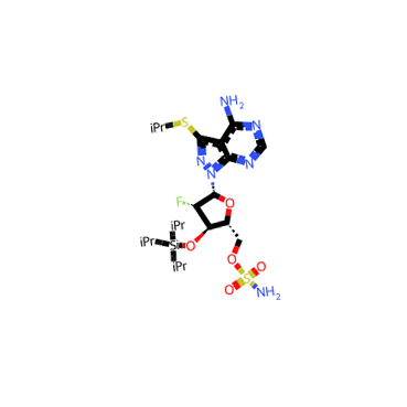 CC(C)Sc1nn([C@@H]2O[C@H](COS(N)(=O)=O)[C@@H](O[Si](C(C)C)(C(C)C)C(C)C)[C@@H]2F)c2ncnc(N)c12